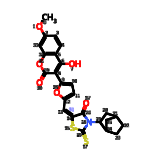 COc1ccc2c(O)c(-c3ccc(/C=C4/SC(=S)N(C5CC6CCC5C6)C4=O)o3)c(=O)oc2c1